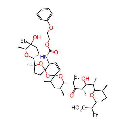 CCC(C(=O)[C@@H](C)[C@@H](O)[C@H](C)[C@@H]1O[C@@H]([C@@H](CC)C(=O)O)CC[C@@H]1C)[C@H]1O[C@]2(C=CC(NC(=O)OCCOc3ccccc3)[C@]3(CC[C@@](C)([C@H]4CC[C@](O)(CC)[C@H](C)O4)O3)O2)[C@H](C)C[C@@H]1C